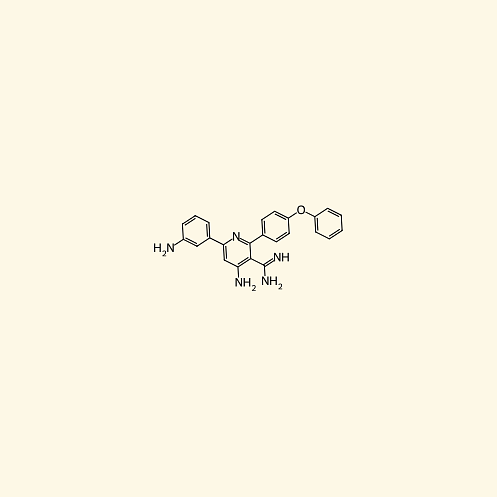 N=C(N)c1c(N)cc(-c2cccc(N)c2)nc1-c1ccc(Oc2ccccc2)cc1